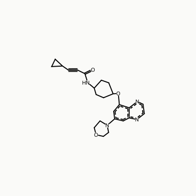 O=C(C#CC1CC1)NC1CCC(Oc2cc(N3CCOCC3)cc3nccnc23)CC1